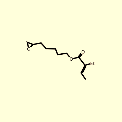 CC=C(CC)C(=O)OCCCCCC1CO1